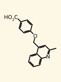 Cc1cc(COc2ccc(C(=O)O)cc2)c2ccccc2n1